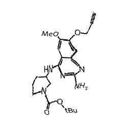 C#CCOc1cc2nc(N)nc(NC3CCCN(C(=O)OC(C)(C)C)C3)c2cc1OC